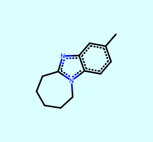 Cc1ccc2c(c1)nc1n2CCCCC1